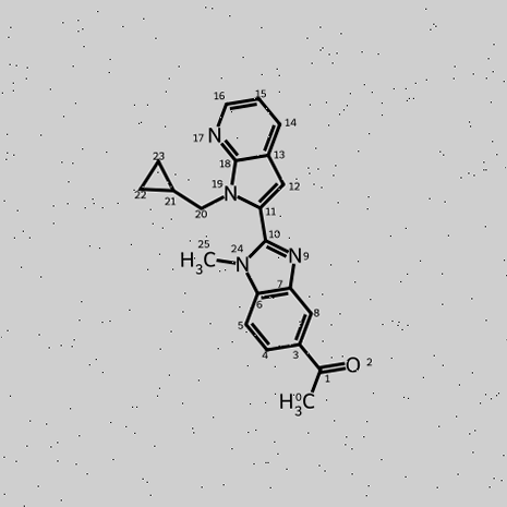 CC(=O)c1ccc2c(c1)nc(-c1cc3cccnc3n1CC1CC1)n2C